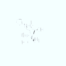 CC(C)=C[Si](CCNC1CCCC1)([SiH](C)C)C(C)(C)C